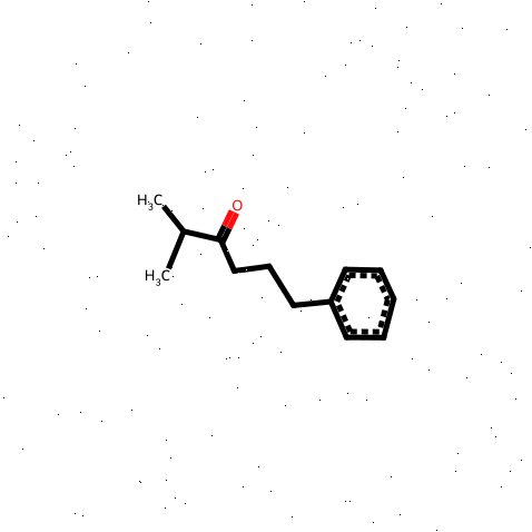 CC(C)C(=O)CCCc1ccccc1